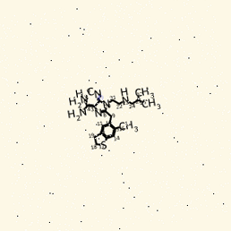 C/N=C1\C(=C(N)N)N=C(Cc2cc3c(cc2C)SCC3)N1CCNCC(C)C